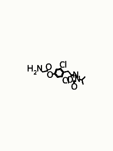 CC(C)n1nc(Cc2c(Cl)cc(OC(=O)CN)cc2Cl)oc1=O